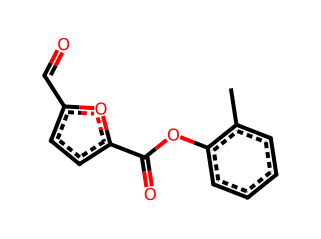 Cc1ccccc1OC(=O)c1ccc(C=O)o1